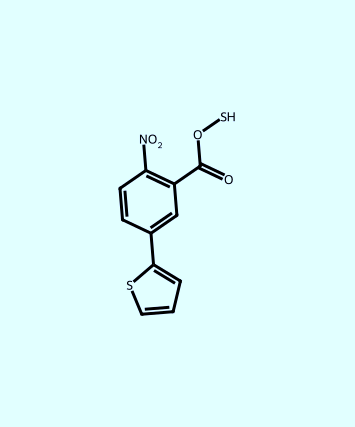 O=C(OS)c1cc(-c2cccs2)ccc1[N+](=O)[O-]